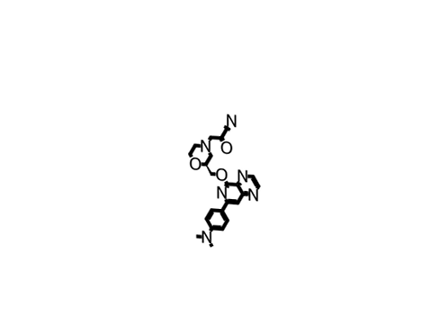 CN(C)c1ccc(-c2cc3nccnc3c(OC[C@@H]3CN(CC(=O)C#N)CCO3)n2)cc1